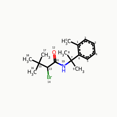 Cc1ccccc1C(C)(C)NC(=O)C(Br)C(C)(C)C